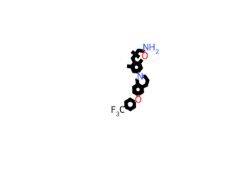 Cc1cc(N2CCCc3cc(OC4CCC(C(F)(F)F)CC4)ccc3C2)cc(C)c1CC(C)(C)CC(N)=O